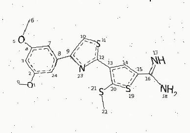 COc1cc(OC)cc(-c2csc(-c3cc(C(=N)N)sc3SC)n2)c1